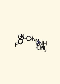 CS/C(=N\CCN1CCC(c2noc3cc(F)ccc23)CC1)NC#N